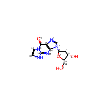 O=c1c2ncn([C@H]3C[C@H](O)[C@@H](CO)O3)c2nc2[nH]ccn12